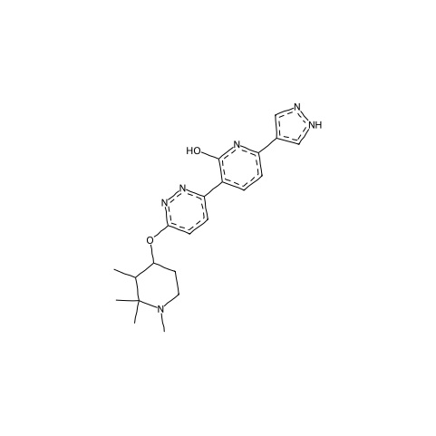 CC1C(Oc2ccc(-c3ccc(-c4cn[nH]c4)nc3O)nn2)CCN(C)C1(C)C